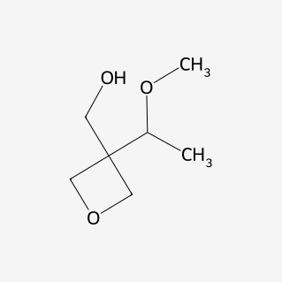 COC(C)C1(CO)COC1